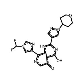 O=c1cnc(-c2cn(C(F)F)cn2)c2[nH]c(-c3cnn(C4CCOCC4)c3)nc(O)c1-2